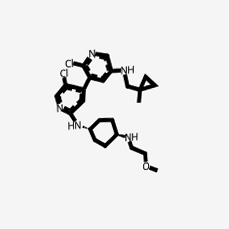 COCCN[C@H]1CC[C@H](Nc2cc(-c3cc(NCC4(C)CC4)cnc3Cl)c(Cl)cn2)CC1